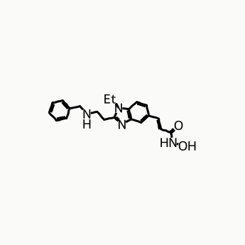 CCn1c(CCNCc2ccccc2)nc2cc(C=CC(=O)NO)ccc21